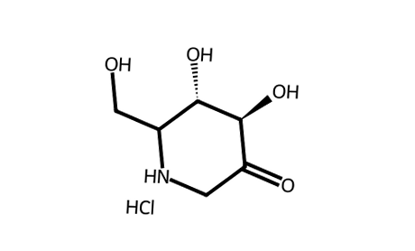 Cl.O=C1CNC(CO)[C@H](O)[C@H]1O